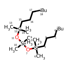 CCC(C)CCC[Si](C)(C)O[Si](C)(C)O[Si](C)(C)CCCC(C)CC